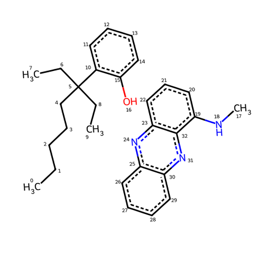 CCCCCC(CC)(CC)c1ccccc1O.CNc1cccc2nc3ccccc3nc12